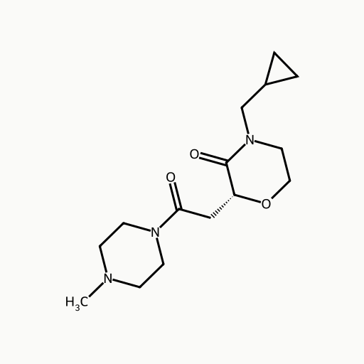 CN1CCN(C(=O)C[C@H]2OCCN(CC3CC3)C2=O)CC1